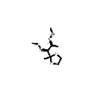 CO/N=C(C)/C(=N\OC)C1(C)OCCO1